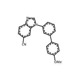 COc1ccc(-c2cccc(-n3cnc4ccc(C#N)cc43)c2)cc1